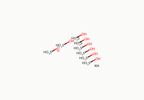 O=S(=O)(O)O.O=S(=O)(O)O.O=S(=O)(O)O.O=S(=O)(O)O.O=S(=O)(O)O.O=S(=O)(O)O.O=S(=O)(O)O.O=S(=O)(O)O.[KH]